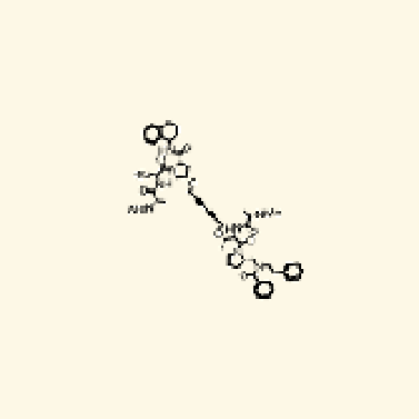 CN[C@@H](C)C(=O)NC(C(=O)N1C[C@@H](OCC#CC#CCO[C@H](C)[C@H](NC(=O)[C@H](C)NC)C(=O)N2CCC[C@H]2CN(CCc2ccccc2)C(=O)c2ccccc2)C[C@H]1C(=O)N[C@@H]1CCCc2ccccc21)C(C)(C)C